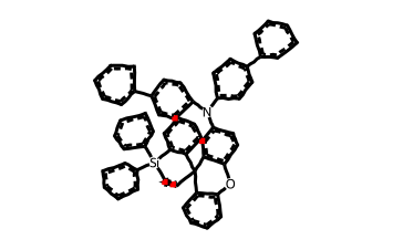 c1ccc(-c2ccc(N(c3ccc(-c4ccccc4)cc3)c3ccc4c(c3)C3(c5ccccc5O4)c4ccccc4[Si](c4ccccc4)(c4ccccc4)c4ccccc43)cc2)cc1